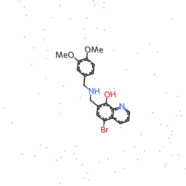 COc1ccc(CNCc2cc(Br)c3cccnc3c2O)cc1OC